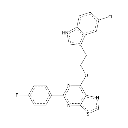 Fc1ccc(-c2nc(OCCc3c[nH]c4ccc(Cl)cc34)c3ncsc3n2)cc1